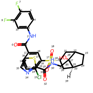 O=C(Nc1ccc(F)c(F)c1)c1ccc(Cl)c(S(=O)(=O)[C@@H]2CC3CC[C@@H](C2)[C@@]3(O)CNC(=O)c2nccs2)c1